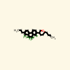 C=CCCC1CCC(c2ccc3c(c2F)C(F)(F)C(F)(F)c2c-3ccc(CCC)c2F)CO1